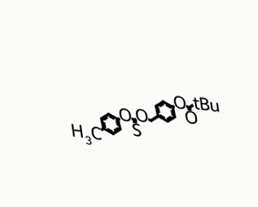 Cc1ccc(OC(=S)OCc2ccc(OC(=O)C(C)(C)C)cc2)cc1